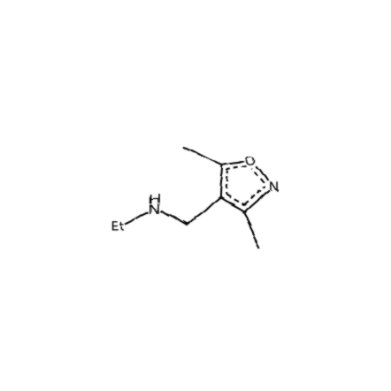 CCNCc1c(C)noc1C